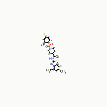 Cc1cc(C)c2nc(NC(=O)C3CCN(S(=O)(=O)c4ccc(F)cc4Cl)CC3)sc2c1